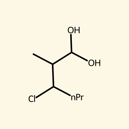 CCCC(Cl)C(C)C(O)O